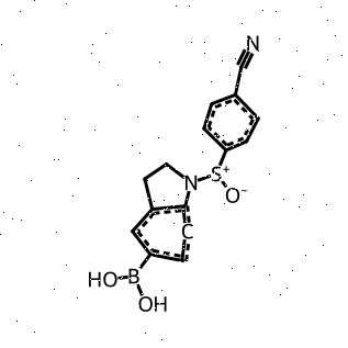 N#Cc1ccc([S+]([O-])N2CCc3cc(B(O)O)ccc32)cc1